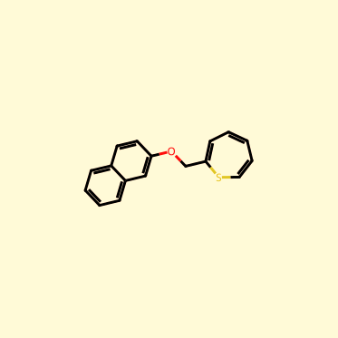 C1=CC=C(COc2ccc3ccccc3c2)SC=C1